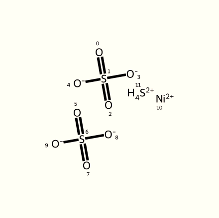 O=S(=O)([O-])[O-].O=S(=O)([O-])[O-].[Ni+2].[SH4+2]